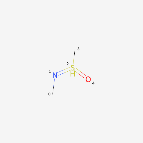 C/N=[SH](/C)=O